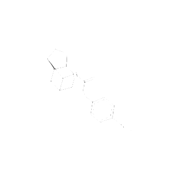 O=C(Oc1ccc([N+](=O)[O-])cc1)OC1C2COC3OCC1C3C2